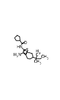 CCC(C)(C)C1CCc2c(sc(NC(=O)C3CCCC3)c2N)C1